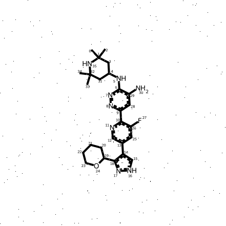 CC1(C)CC(Nc2nnc(-c3ncc(-c4c[nH]nc4C4CCCCO4)cc3F)cc2N)CC(C)(C)N1